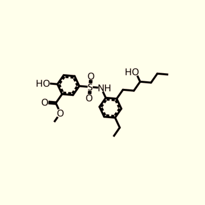 CCCC(O)CCc1cc(CC)ccc1NS(=O)(=O)c1ccc(O)c(C(=O)OC)c1